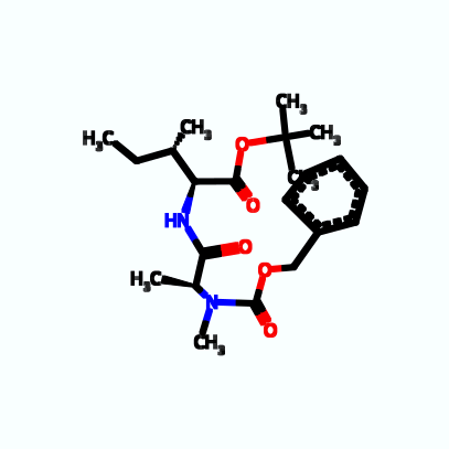 CC[C@H](C)[C@H](NC(=O)[C@H](C)N(C)C(=O)OCc1ccccc1)C(=O)OC(C)(C)C